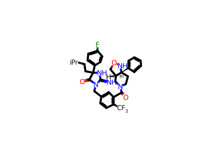 CC(C)CCC1(c2ccc(F)cc2)NC(=N)N(Cc2ccc(C(F)(F)F)c(C(=O)N3CC[C@@]4(c5ccccc5)NOC[C@H]4C3)c2)C1=O